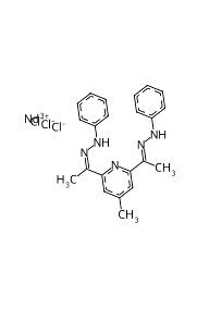 CC(=NNc1ccccc1)c1cc(C)cc(C(C)=NNc2ccccc2)n1.[Cl-].[Cl-].[Cl-].[Nd+3]